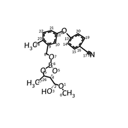 CO[C@H](O)[C@H]1OB(OCc2cc(Oc3ccc(C#N)cc3)ccc2C)OC1C